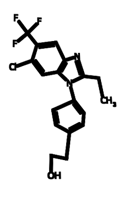 CCc1nc2cc(C(F)(F)F)c(Cl)cc2n1-c1ccc(CCO)cc1